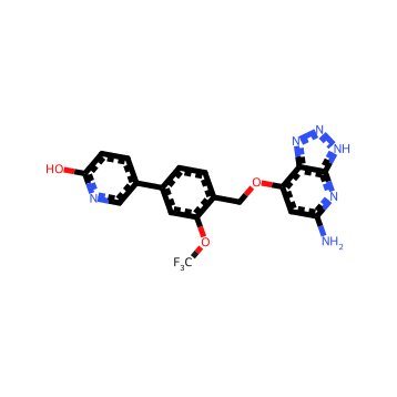 Nc1cc(OCc2ccc(-c3ccc(O)nc3)cc2OC(F)(F)F)c2nn[nH]c2n1